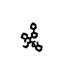 C=c1cccc/c1=C(/C(=C/C=C\C)C(C)Oc1ccccc1C)c1cccc(-c2ccccc2)c1